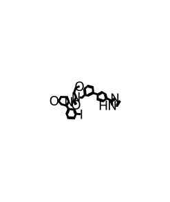 O=C1CCN(C(=O)N2CCOc3ccc(-c4ccc(-c5ncc[nH]5)cc4)cc3C2)C(c2cccc(I)c2)C1